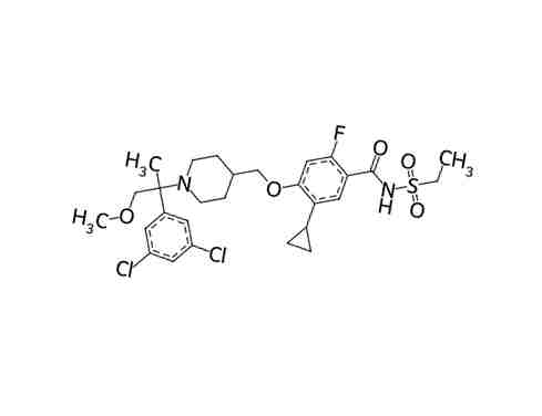 CCS(=O)(=O)NC(=O)c1cc(C2CC2)c(OCC2CCN(C(C)(COC)c3cc(Cl)cc(Cl)c3)CC2)cc1F